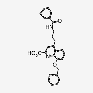 O=C(NCCCc1cc(C(=O)O)nc2c(OCc3ccccc3)cccc12)c1ccccc1